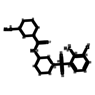 COC1CCCC(C(=O)NC2CCCN(S(=O)(=O)c3cccc(Cl)c3C)C2)C1